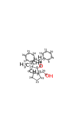 CC(C)(C)C(O[SiH](c1ccccc1)c1ccccc1)C1(CO)CCCC1